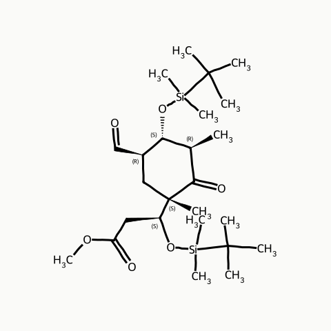 COC(=O)C[C@H](O[Si](C)(C)C(C)(C)C)[C@]1(C)C[C@@H](C=O)[C@H](O[Si](C)(C)C(C)(C)C)[C@@H](C)C1=O